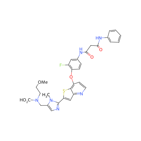 COCCN(Cc1cnc(-c2cc3nccc(Oc4ccc(NC(=O)CC(=O)Nc5ccccc5)cc4F)c3s2)n1C)C(=O)O